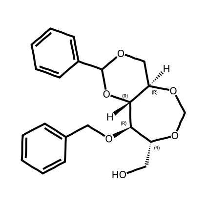 OC[C@H]1OCO[C@@H]2COC(c3ccccc3)O[C@H]2[C@@H]1OCc1ccccc1